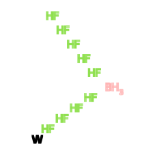 B.F.F.F.F.F.F.F.F.F.[W]